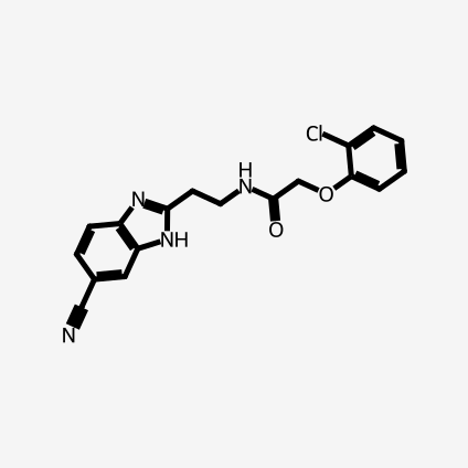 N#Cc1ccc2nc(CCNC(=O)COc3ccccc3Cl)[nH]c2c1